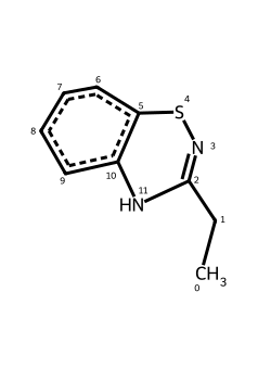 CCC1=NSc2ccccc2N1